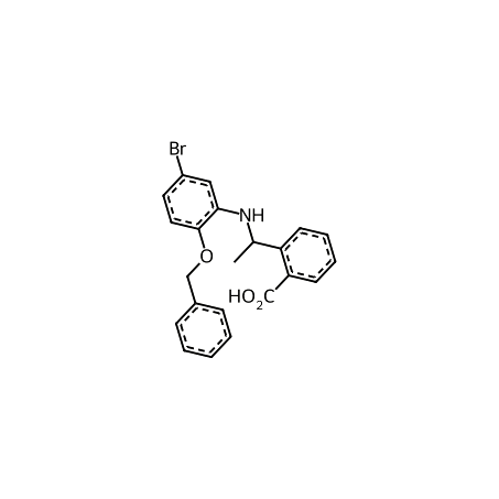 CC(Nc1cc(Br)ccc1OCc1ccccc1)c1ccccc1C(=O)O